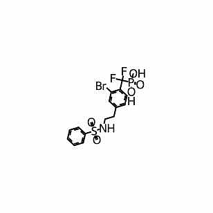 O=P(O)(O)C(F)(F)c1ccc(CCNS(=O)(=O)c2ccccc2)cc1Br